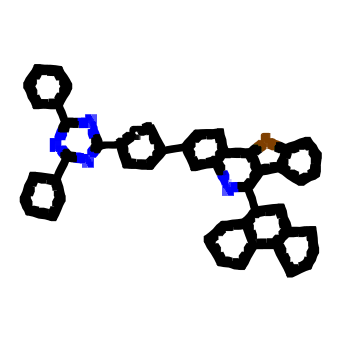 c1ccc(-c2nc(-c3ccccc3)nc(-c3ccc(-c4ccc5c(c4)nc(-c4cc6ccccc6c6ccccc46)c4c6ccccc6sc54)cc3)n2)cc1